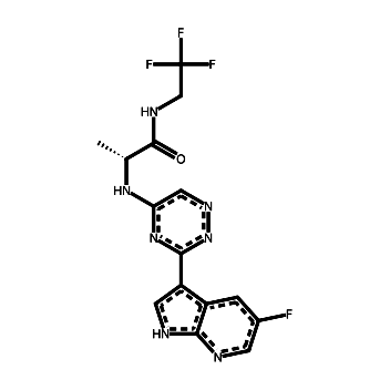 C[C@@H](Nc1cnnc(-c2c[nH]c3ncc(F)cc23)n1)C(=O)NCC(F)(F)F